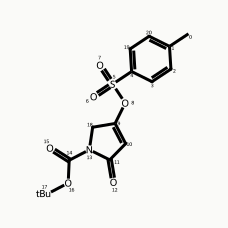 Cc1ccc(S(=O)(=O)OC2=CC(=O)N(C(=O)OC(C)(C)C)C2)cc1